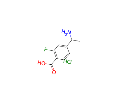 CC(N)c1ccc(C(=O)O)c(F)c1.Cl